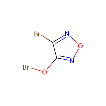 BrOc1nonc1Br